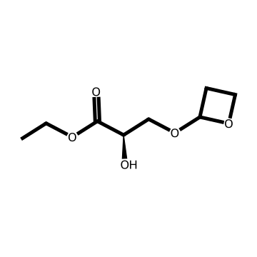 CCOC(=O)[C@H](O)COC1CCO1